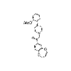 COc1ccccc1N1CCN(CC(=O)c2ccc3c(c2)OC=CCO3)CC1